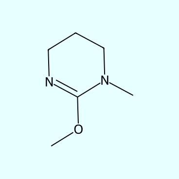 COC1=NCCCN1C